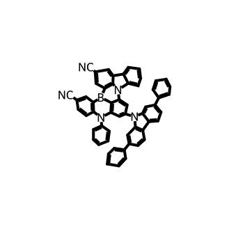 N#Cc1ccc2c(c1)B1c3c(cc(-n4c5cc(-c6ccccc6)ccc5c5ccc(-c6ccccc6)cc54)cc3-n3c4ccccc4c4cc(C#N)cc1c43)N2c1ccccc1